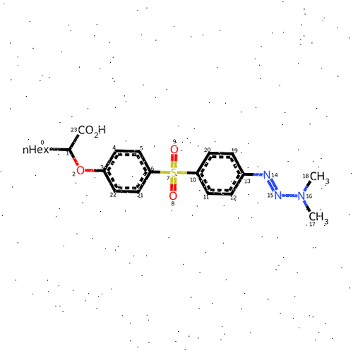 CCCCCCC(Oc1ccc(S(=O)(=O)c2ccc(N=NN(C)C)cc2)cc1)C(=O)O